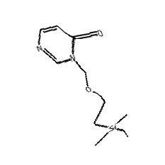 C[Si](C)(C)CCOCn1cnccc1=O